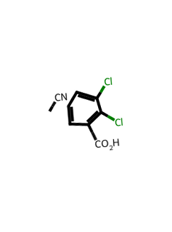 CC#N.O=C(O)c1cccc(Cl)c1Cl